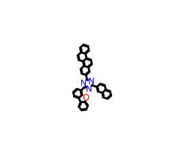 c1ccc2cc(-c3nc(-c4ccc5c(ccc6c7ccccc7ccc56)c4)nc(-c4cccc5c4oc4ccccc45)n3)ccc2c1